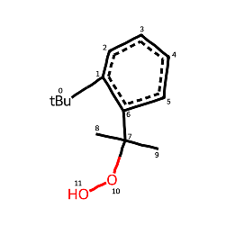 CC(C)(C)c1ccccc1C(C)(C)OO